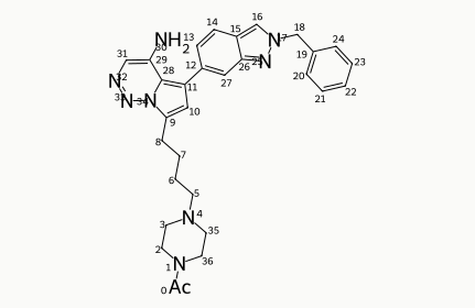 CC(=O)N1CCN(CCCCc2cc(-c3ccc4cn(Cc5ccccc5)nc4c3)c3c(N)cnnn23)CC1